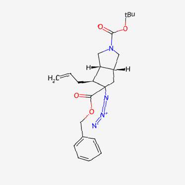 C=CC[C@H]1[C@@H]2CN(C(=O)OC(C)(C)C)C[C@@H]2CC1(N=[N+]=[N-])C(=O)OCc1ccccc1